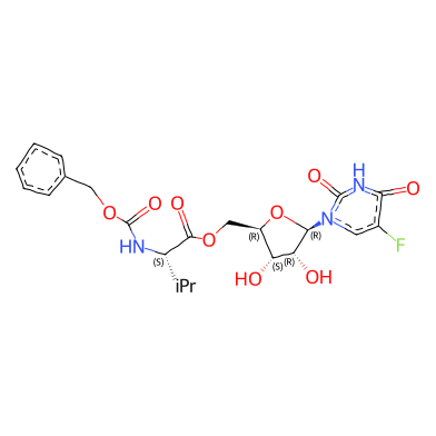 CC(C)[C@H](NC(=O)OCc1ccccc1)C(=O)OC[C@H]1O[C@@H](n2cc(F)c(=O)[nH]c2=O)[C@H](O)[C@@H]1O